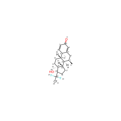 C[C@@H]1CC2=CC(=O)C=C[C@]2(C)[C@H]2CC[C@@]3(C)[C@@H](CC[C@@]3(O)C(F)(F)C(F)(F)F)[C@H]12